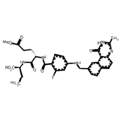 COC(=O)CC[C@H](NC(=O)c1ccc(NCc2ccc3ccc4nc(C)[nH]c(=O)c4c3c2)cc1F)C(=O)N[C@@H](CC(=O)O)C(=O)O